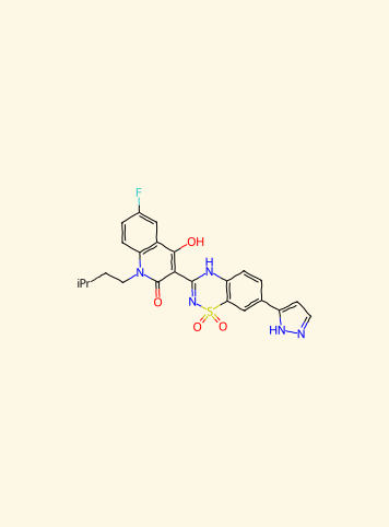 CC(C)CCn1c(=O)c(C2=NS(=O)(=O)c3cc(-c4ccn[nH]4)ccc3N2)c(O)c2cc(F)ccc21